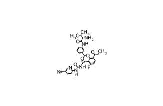 CCC(=O)c1ccc(F)c([C@@H]2C[C@@H]2NC(=O)Nc2ccc(C#N)cn2)c1OC(=O)c1cccc(NC(=O)[C@@H](N)C(C)C)c1